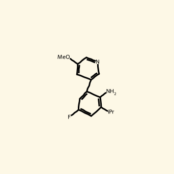 COc1cncc(-c2cc(F)cc(C(C)C)c2N)c1